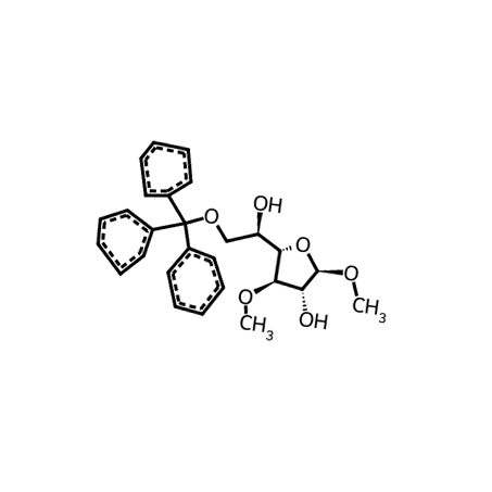 CO[C@@H]1O[C@@H]([C@H](O)COC(c2ccccc2)(c2ccccc2)c2ccccc2)[C@H](OC)[C@H]1O